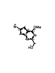 COc1nc(CO)nn2cc(Br)cc12